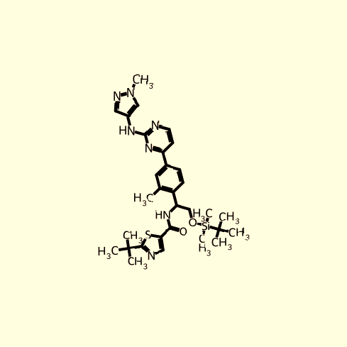 Cc1cc(-c2ccnc(Nc3cnn(C)c3)n2)ccc1C(CO[Si](C)(C)C(C)(C)C)NC(=O)c1cnc(C(C)(C)C)s1